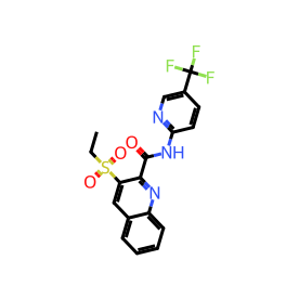 CCS(=O)(=O)c1cc2ccccc2nc1C(=O)Nc1ccc(C(F)(F)F)cn1